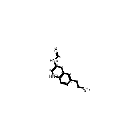 CCCc1ccc2c(c1)CC(NC=O)=CN2